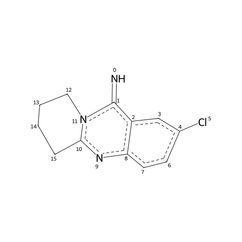 N=c1c2cc(Cl)ccc2nc2n1CCCC2